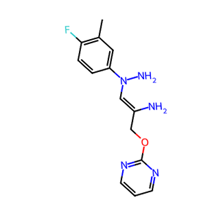 Cc1cc(N(N)/C=C(\N)COc2ncccn2)ccc1F